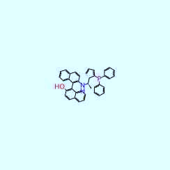 C[C@@H](Nc1ccc2ccccc2c1-c1c(O)ccc2ccccc12)[C@@H]1C=CC=C1P(c1ccccc1)c1ccccc1